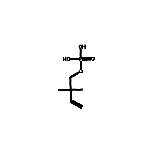 C=CC(C)(C)COP(=O)(O)O